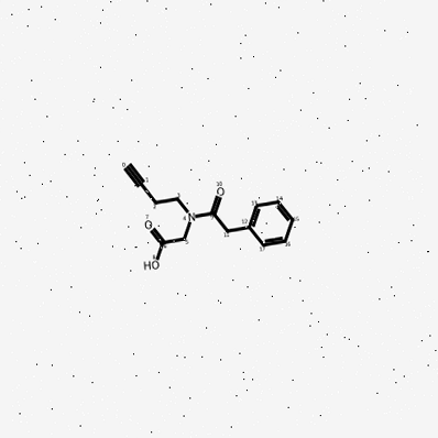 C#CCCN(CC(=O)O)C(=O)Cc1ccccc1